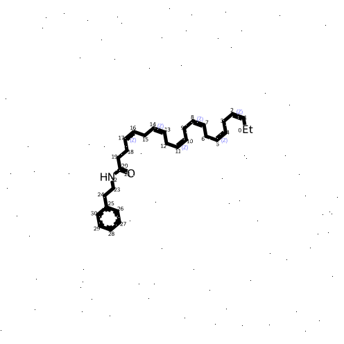 CC/C=C\C/C=C\C/C=C\C/C=C\C/C=C\C/C=C\CCC(=O)NCCc1ccccc1